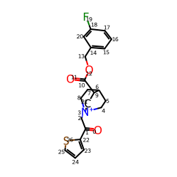 O=C(C[N+]12CCC(CC1)C(C(=O)OCc1cccc(F)c1)C2)c1cccs1